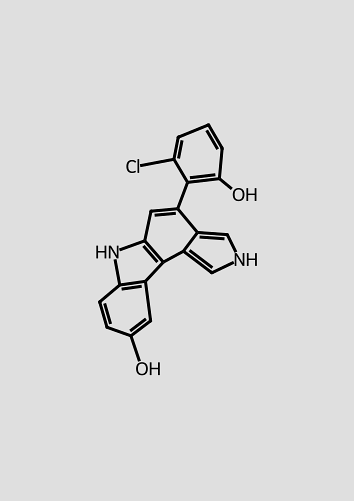 Oc1ccc2[nH]c3cc(-c4c(O)cccc4Cl)c4c[nH]cc4c3c2c1